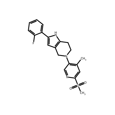 Cc1cc(S(C)(=O)=O)ncc1N1CCc2[nH]c(-c3ccccc3F)cc2C1